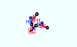 O=C(O)Cc1nc(-c2ccc(NC(=O)[C@@H]3CCCN3C(=O)OCc3ccccc3)cc2)c(-c2ccc(NC(=O)[C@@H]3CCCN3C(=O)OCc3ccccc3)cc2)o1